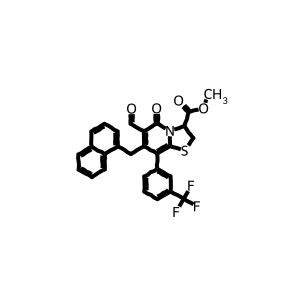 COC(=O)C1CSc2c(-c3cccc(C(F)(F)F)c3)c(Cc3cccc4ccccc34)c(C=O)c(=O)n21